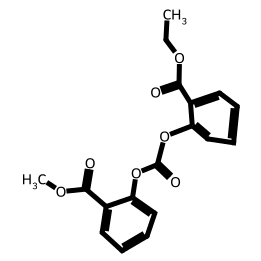 CCOC(=O)c1ccccc1OC(=O)Oc1ccccc1C(=O)OC